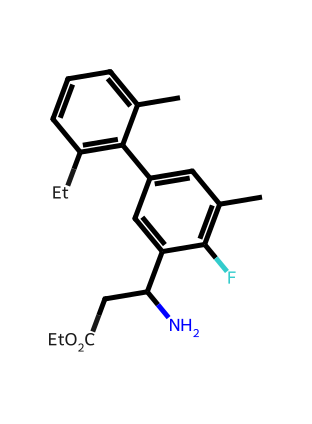 CCOC(=O)CC(N)c1cc(-c2c(C)cccc2CC)cc(C)c1F